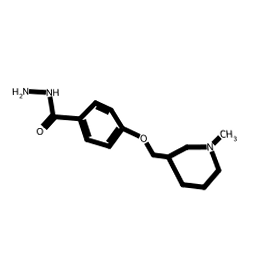 CN1CCCC(COc2ccc(C(=O)NN)cc2)C1